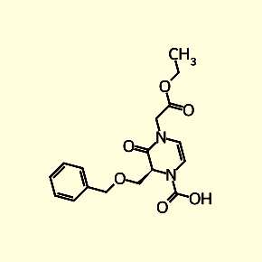 CCOC(=O)CN1C=CN(C(=O)O)[C@@H](COCc2ccccc2)C1=O